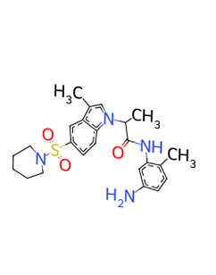 Cc1ccc(N)cc1NC(=O)C(C)n1cc(C)c2cc(S(=O)(=O)N3CCCCC3)ccc21